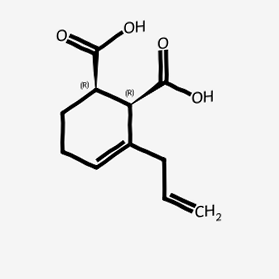 C=CCC1=CCC[C@@H](C(=O)O)[C@H]1C(=O)O